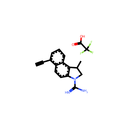 C#Cc1cccc2c3c(ccc12)N(C(=N)N)CC3C.O=C(O)C(F)(F)F